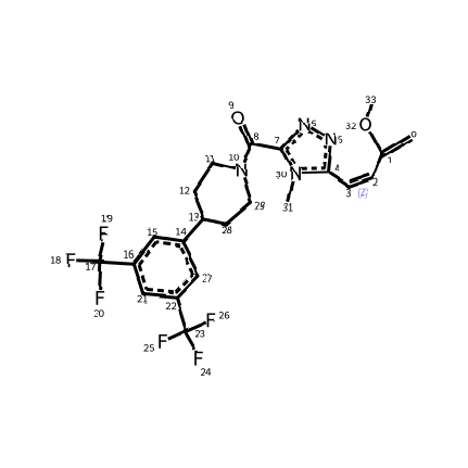 C=C(/C=C\c1nnc(C(=O)N2CCC(c3cc(C(F)(F)F)cc(C(F)(F)F)c3)CC2)n1C)OC